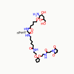 CCCCC[C@H](NC(=O)CCCCOC1OC(CO)C[C@H](O)[C@@H]1N)C(=O)NCCCCCC(=O)NCCOC1(OCCNC(=O)CCN2C(=O)C=CC2=O)CCCC1